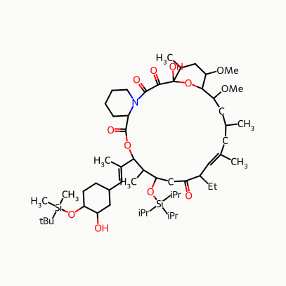 CCC1/C=C(\C)CC(C)CC(OC)C2OC(O)(C(=O)C(=O)N3CCCCC3C(=O)OC(C(C)=CC3CCC(O[Si](C)(C)C(C)(C)C)C(O)C3)C(C)C(O[Si](C(C)C)(C(C)C)C(C)C)CC1=O)C(C)CC2OC